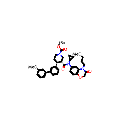 COCCCN1C(=O)COc2ccc(N(C(=O)[C@H]3CN(C(=O)OC(C)(C)C)CC[C@@H]3c3cccc(-c4cccc(OC)c4)c3)C3CC3)cc21